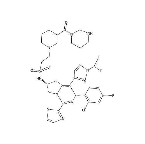 O=C(C1CCCN(CCS(=O)(=O)N[C@H]2CC3=C(c4ccn(C(F)F)n4)[C@H](c4ccc(F)cc4Cl)N=C(c4nccs4)N3C2)C1)N1CCCNC1